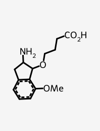 COc1cccc2c1C(OCCCC(=O)O)C(N)C2